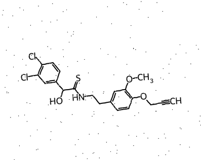 C#CCOc1ccc(CCNC(=S)C(O)c2ccc(Cl)c(Cl)c2)cc1OC